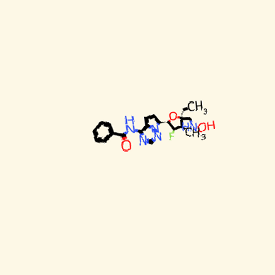 CC[C@@]1(CNO)O[C@@H](c2ccc3c(NC(=O)c4ccccc4)ncnn23)[C@H](F)[C@@H]1C